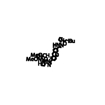 CC[C@H](C)CC(=O)N1CCC[C@H]1C1=NCC(c2cc3c(cc2F)Cc2cc(C4CN=C([C@@H]5CCCN5C(=O)[C@@H](NC(=O)OC)[C@@H](C)OC)N4)ccc2O3)N1